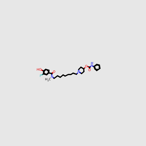 CN(CCCCCCCCCN1CCC(OC(=O)Nc2ccccc2)CC1)C(=O)c1ccc(O)c(F)c1